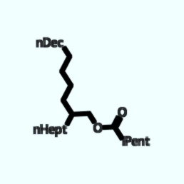 CCCCCCCCCCCCCCC(CCCCCCC)COC(=O)C(C)CCC